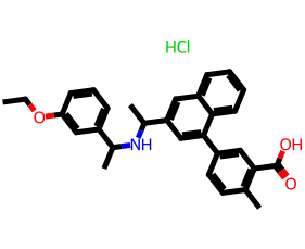 CCOc1cccc(C(C)NC(C)c2cc(-c3ccc(C)c(C(=O)O)c3)c3ccccc3c2)c1.Cl